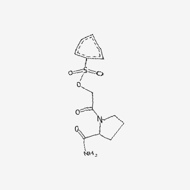 NC(=O)C1CCCN1C(=O)COS(=O)(=O)c1ccccc1